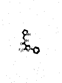 O=C(NCC1CCCN1)c1cn(-c2ccccc2)nc1C(F)(F)F